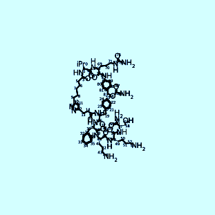 CC(C)C(NC(=O)CCCCCn1cc(CCC(=O)N[C@@H](Cc2ccccc2)C(=O)N[C@@H](Cc2ccccc2)C(=O)N[C@@H](CCCN)C(=O)N[C@@H](CCCCN)C(=O)N[C@@H](CO)C(N)=O)nn1)C(=O)N[C@@H](CCCNC(N)=O)C(=O)Nc1ccc(COC(N)=O)cc1